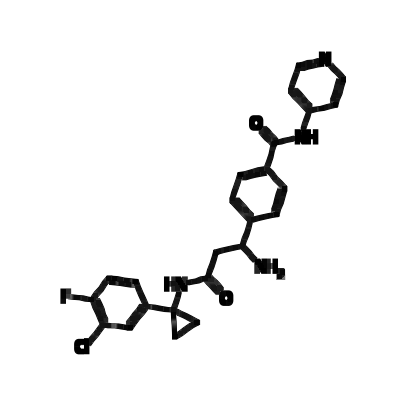 NC(CC(=O)NC1(c2ccc(F)c(Cl)c2)CC1)c1ccc(C(=O)Nc2ccncc2)cc1